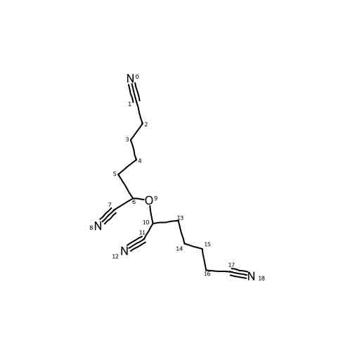 N#CCCCCC(C#N)OC(C#N)CCCCC#N